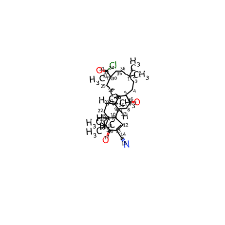 CC1(C)CCC2C(=O)C[C@@H]3[C@@]4(C)C=C(C#N)C(=O)C(C)(C)[C@@H]4CC[C@@]3(C)[C@]2(C)CC[C@@](C)(C(=O)Cl)CC1